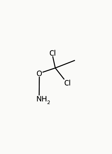 CC(Cl)(Cl)ON